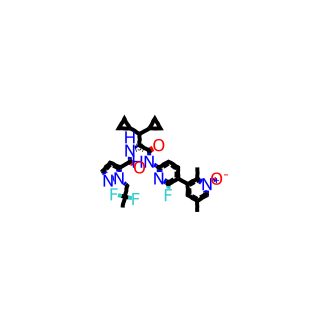 Cc1cc(-c2ccc(NC(=O)[C@@H](NC(=O)c3ccnn3CC(C)(F)F)C(C3CC3)C3CC3)nc2F)c(C)[n+]([O-])c1